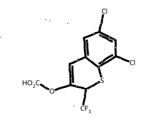 O=C(O)OC1=Cc2cc(Cl)cc(Cl)c2SC1C(F)(F)F